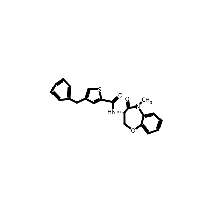 CN1C(=O)[C@@H](NC(=O)c2cc(Cc3ccccc3)cs2)COc2ccccc21